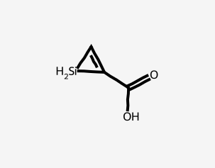 O=C(O)C1=C[SiH2]1